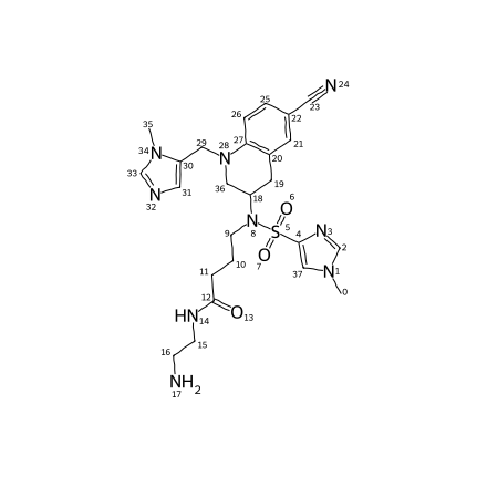 Cn1cnc(S(=O)(=O)N(CCCC(=O)NCCN)C2Cc3cc(C#N)ccc3N(Cc3cncn3C)C2)c1